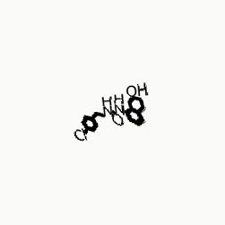 O=C(NCCc1ccc(Cl)cc1)Nc1cccc2c1C[C@H](O)CC2